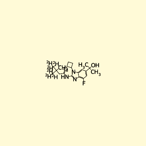 [2H]C([2H])([2H])C(C)(CC(=O)Nc1nc2c(F)cc(C(C)(C)O)cc2n1C1CCC1)C([2H])([2H])[2H]